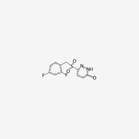 O=c1ccc(S(=O)(=O)Cc2ccc(F)cc2F)n[nH]1